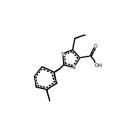 CCc1sc(-c2cccc(C)c2)nc1C(=O)O